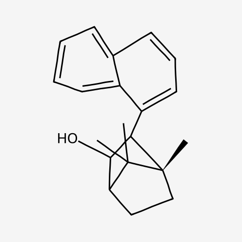 CC1(C)C2CC[C@@]1(C)C(c1cccc3ccccc13)C2O